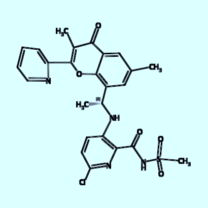 Cc1cc([C@@H](C)Nc2ccc(Cl)nc2C(=O)NS(C)(=O)=O)c2oc(-c3ccccn3)c(C)c(=O)c2c1